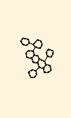 c1ccc(-c2ccccc2-c2cccc3cc4c(-c5ccccc5)c5ccccc5c(-c5ccccc5)c4cc23)cc1